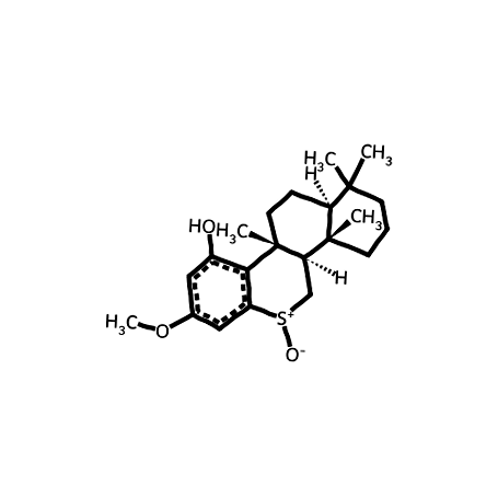 COc1cc(O)c2c(c1)[S+]([O-])C[C@@H]1[C@@]3(C)CCCC(C)(C)[C@@H]3CC[C@@]21C